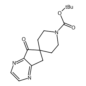 CC(C)(C)OC(=O)N1CCC2(CC1)Cc1nccnc1C2=O